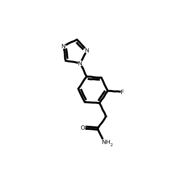 NC(=O)[CH]c1ccc(-n2cncn2)cc1F